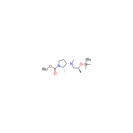 C[C@@H](CN(C)[C@H]1CCN(C(=O)OC(C)(C)C)[C@H]1C)O[Si](C)(C)C(C)(C)C